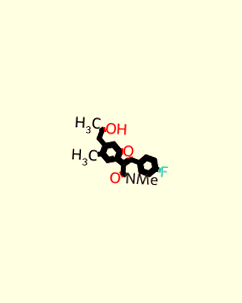 CNC(=O)c1c(-c2ccc(F)cc2)oc2cc(CC(C)O)c(C)cc12